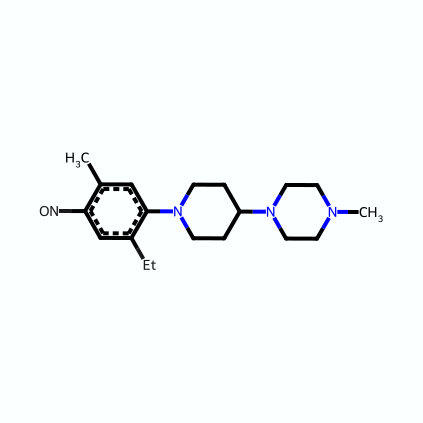 CCc1cc(N=O)c(C)cc1N1CCC(N2CCN(C)CC2)CC1